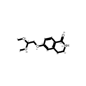 COC(COc1ccc2c(c1)CCNC2=O)OC